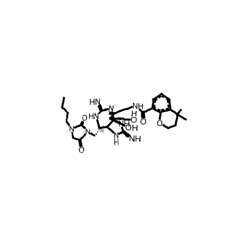 CCCCN1CC(=O)N(C[C@@H]2NC(=N)N3CC(NC(=O)c4cccc5c4OCCC5(C)C)C(O)(O)C34NC(=N)NC24)C1=O